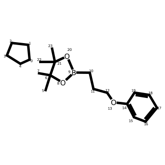 C1CCCC1.CC1(C)OB(CCCOc2ccccc2)OC1(C)C